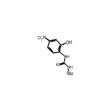 CC(C)(C)NC(=O)Nc1ccc([N+](=O)[O-])cc1O